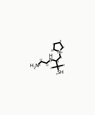 CC(C)(S)C(CN1CCCC1)NCCN